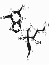 C[C@@H](O)[C@H]1O[C@@H](n2cnc3c(=S)[nH]c(N)nc32)C(O)(C#CCl)[C@H]1O